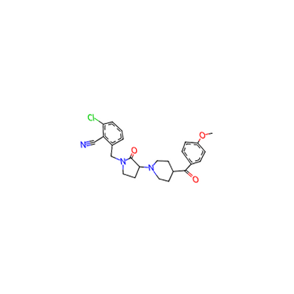 COc1ccc(C(=O)C2CCN(C3CCN(Cc4cccc(Cl)c4C#N)C3=O)CC2)cc1